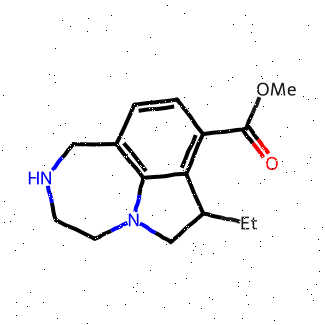 CCC1CN2CCNCc3ccc(C(=O)OC)c1c32